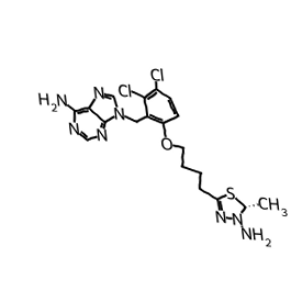 C[C@H]1SC(CCCCOc2ccc(Cl)c(Cl)c2Cn2cnc3c(N)ncnc32)=NN1N